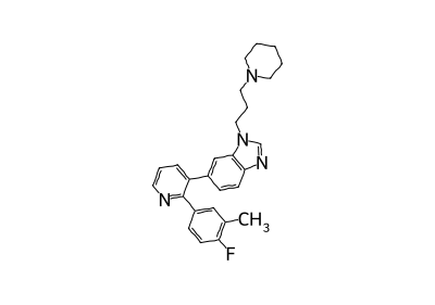 Cc1cc(-c2ncccc2-c2ccc3ncn(CCCN4CCCCC4)c3c2)ccc1F